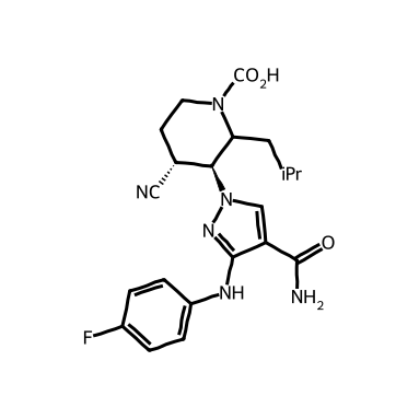 CC(C)CC1[C@@H](n2cc(C(N)=O)c(Nc3ccc(F)cc3)n2)[C@H](C#N)CCN1C(=O)O